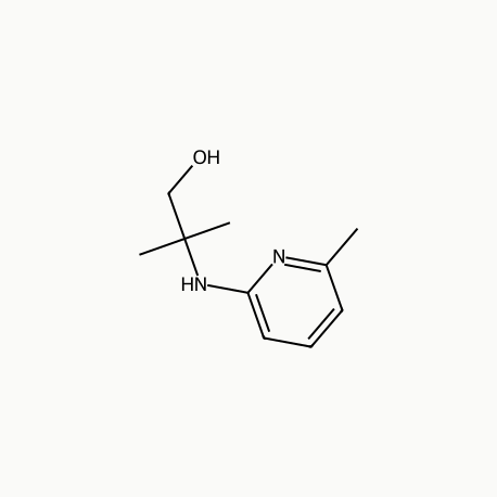 Cc1cccc(NC(C)(C)CO)n1